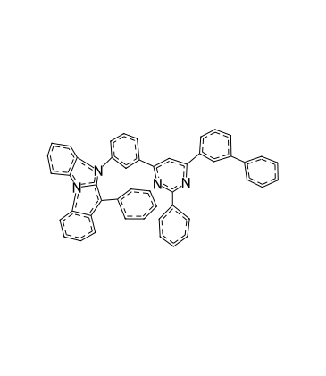 c1ccc(-c2cccc(-c3cc(-c4cccc(-n5c6ccccc6n6c7ccccc7c(-c7ccccc7)c56)c4)nc(-c4ccccc4)n3)c2)cc1